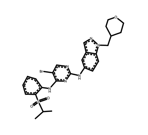 CC(C)S(=O)(=O)c1ccccc1Nc1nc(Nc2ccc3c(cnn3CC3CCOCC3)c2)ncc1Br